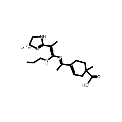 CCCNC(/N=C(\C)C1=CCC(C)(C(=O)O)CC1)=C(/C)C1=N[C@H](C)CN1